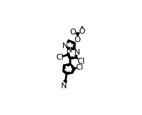 COC(=O)Oc1cnn2c(Cl)c(-c3ccc(C#N)cc3Cl)c(Cl)nc12